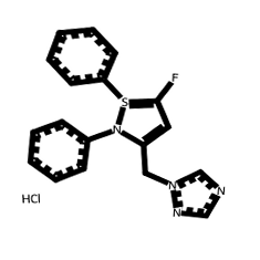 Cl.FC1=S(c2ccccc2)N(c2ccccc2)C(Cn2cncn2)=C1